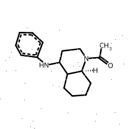 CC(=O)N1CCC(Nc2ccccc2)C2CCCC[C@@H]21